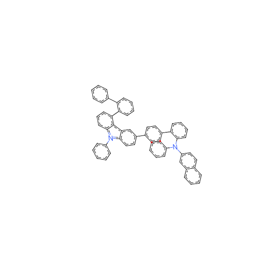 c1ccc(-c2ccccc2-c2cccc3c2c2cc(-c4ccc(-c5ccccc5N(c5ccccc5)c5ccc6ccccc6c5)cc4)ccc2n3-c2ccccc2)cc1